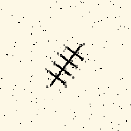 [O]C(F)(F)C(F)(F)C(F)(F)C(F)(F)Cl